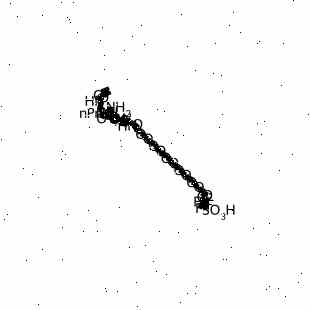 CCCN(CCCNC(=O)OC1CCC1)C(=O)C1=Cc2ccc(-c3ccc(CNC(=O)CCOCCOCCOCCOCCOCCOCCOCCOCCOCCOCCC(=O)Oc4c(F)c(F)c(S(=O)(=O)O)c(F)c4F)nc3)cc2N=C(N)C1